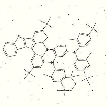 Cc1cc(C(C)(C)C)ccc1N(c1ccc2c(c1)N(c1cc3c(cc1C)C(C)(C)CCC3(C)C)c1cc(C(C)(C)C)cc3c1B2C1CC(C(C)(C)C)=Cc2c1n-3c1c2sc2ccccc21)c1ccc(C(C)(C)C)cc1C